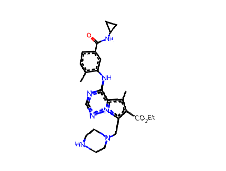 CCOC(=O)c1c(C)c2c(Nc3cc(C(=O)NC4CC4)ccc3C)ncnn2c1CN1CCNCC1